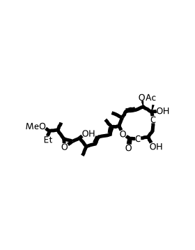 CCC(OC)C(C)C1OC1C(O)C(C)/C=C/C=C(\C)C1OC(=O)CC(O)CC[C@@](C)(O)[C@H](OC(C)=O)/C=C/C1C